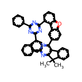 CC1(C)c2ccccc2-c2c(-c3ccc4oc5cccc(-c6nc(-c7ccccc7)nc(-c7ccccc7)n6)c5c4c3)nc(-c3ccccc3)nc21